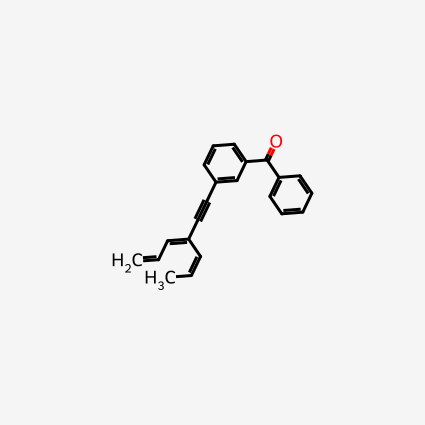 C=C/C=C(C#Cc1cccc(C(=O)c2ccccc2)c1)\C=C/C